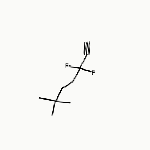 C#CC(F)(F)CCC(C)(C)C